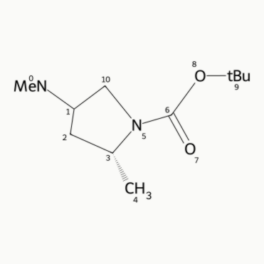 CNC1C[C@@H](C)N(C(=O)OC(C)(C)C)C1